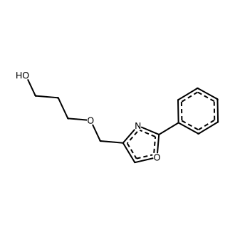 OCCCOCc1coc(-c2ccccc2)n1